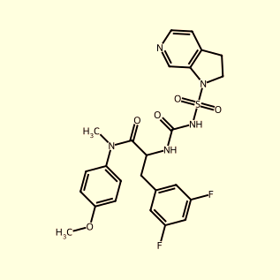 COc1ccc(N(C)C(=O)C(Cc2cc(F)cc(F)c2)NC(=O)NS(=O)(=O)N2CCc3ccncc32)cc1